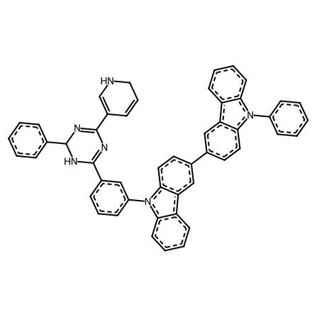 C1=CC(C2=NC(c3ccccc3)NC(c3cccc(-n4c5ccccc5c5cc(-c6ccc7c(c6)c6ccccc6n7-c6ccccc6)ccc54)c3)=N2)=CNC1